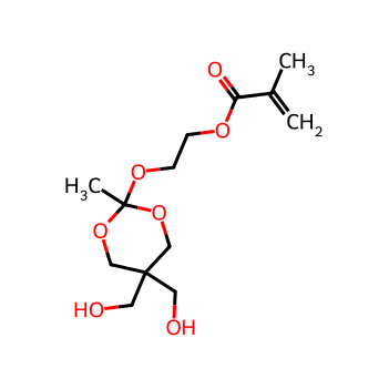 C=C(C)C(=O)OCCOC1(C)OCC(CO)(CO)CO1